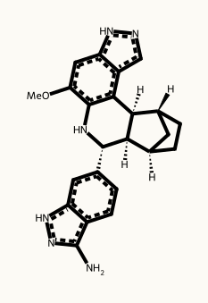 COc1cc2[nH]ncc2c2c1N[C@@H](c1ccc3c(N)n[nH]c3c1)[C@@H]1[C@@H]3CC[C@H](C3)[C@H]21